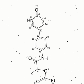 CCC(=O)OC(C)C(=O)Nc1ccc(-c2ccc(=O)[nH]n2)cc1